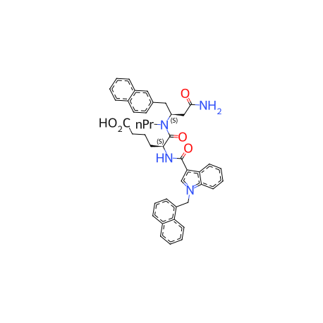 CCCN(C(=O)[C@H](CCCC(=O)O)NC(=O)c1cn(Cc2cccc3ccccc23)c2ccccc12)[C@H](CC(N)=O)Cc1ccc2ccccc2c1